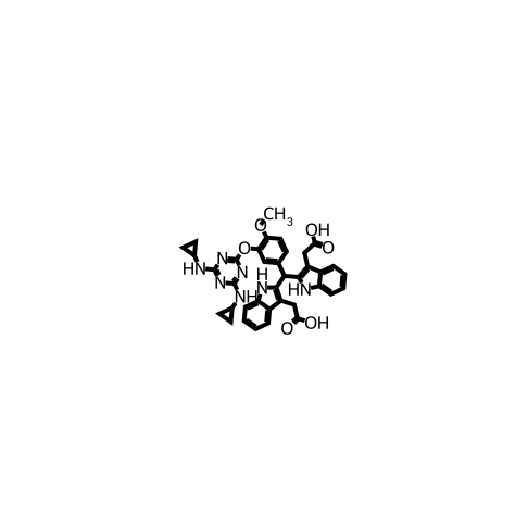 COc1ccc(C(c2[nH]c3ccccc3c2CC(=O)O)c2[nH]c3ccccc3c2CC(=O)O)cc1Oc1nc(NC2CC2)nc(NC2CC2)n1